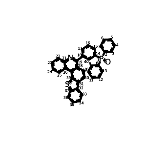 O=P(c1ccccc1)(c1ccccc1)c1cccc(-c2nc3ccccc3c3c2ccc2c4ccccc4sc23)c1